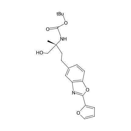 CC(C)(C)OC(=O)N[C@@](C)(CO)CCc1ccc2oc(-c3ccco3)nc2c1